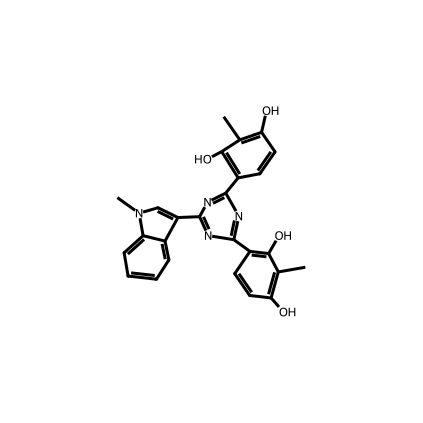 Cc1c(O)ccc(-c2nc(-c3ccc(O)c(C)c3O)nc(-c3cn(C)c4ccccc34)n2)c1O